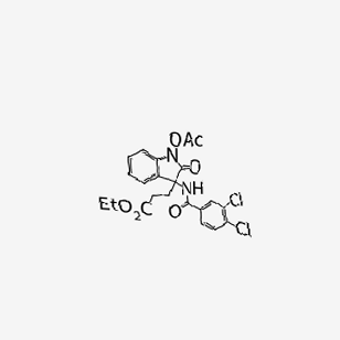 CCOC(=O)CCC1(NC(=O)c2ccc(Cl)c(Cl)c2)C(=O)N(OC(C)=O)c2ccccc21